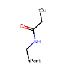 CCCCCCNC(=O)CC(C)(C)C